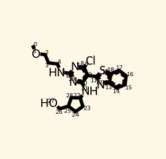 COCCCNc1nc(Cl)c(-c2nc3ccccc3s2)c(NC2CCC(CO)C2)n1